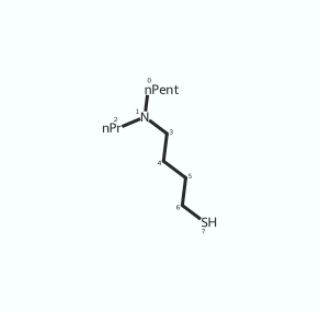 CCCCCN(CCC)CCCCS